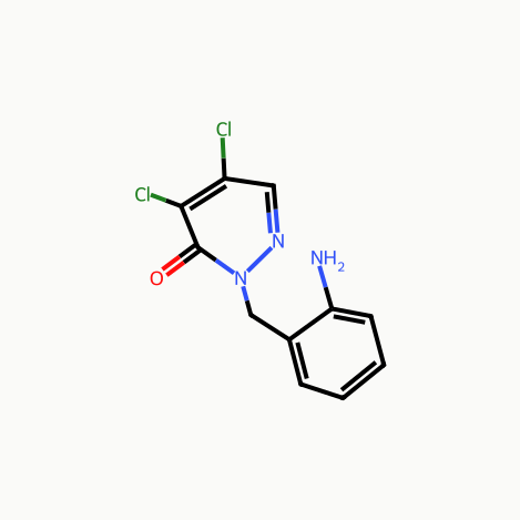 Nc1ccccc1Cn1ncc(Cl)c(Cl)c1=O